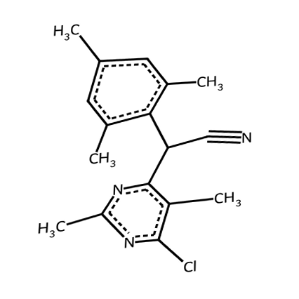 Cc1cc(C)c(C(C#N)c2nc(C)nc(Cl)c2C)c(C)c1